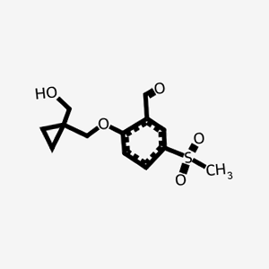 CS(=O)(=O)c1ccc(OCC2(CO)CC2)c(C=O)c1